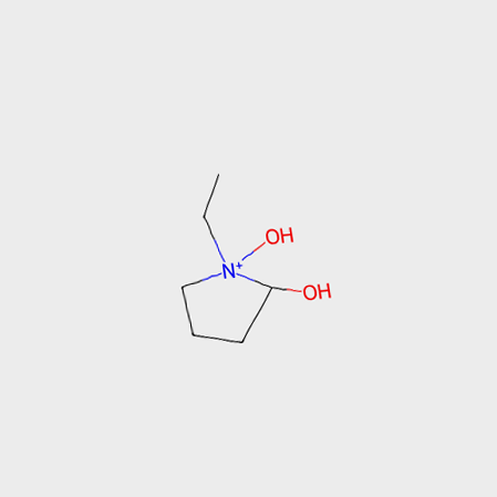 CC[N+]1(O)CCCC1O